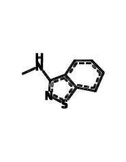 CNc1nsc2ccccc12